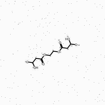 [O]C(O)CC(=O)OCCOC(=O)CC([O])O